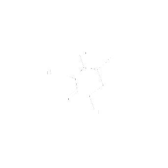 CCCC(C)C(C)C(C)C=O